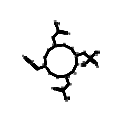 O=C=CN1CCN(CC(=O)O)CCN(CP(=O)(O)O)CCN(CC(=O)O)CC1